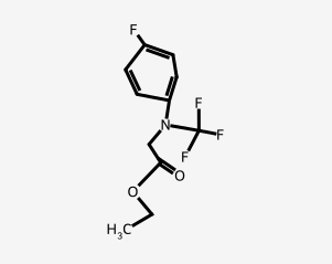 CCOC(=O)CN(c1ccc(F)cc1)C(F)(F)F